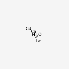 O.[CaH2].[Gd].[La]